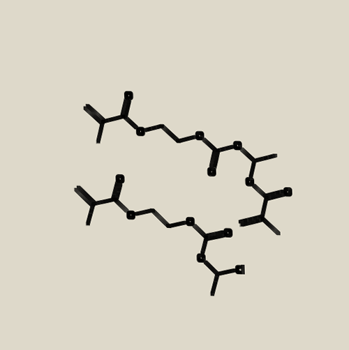 C=C(C)C(=O)OCCOC(=O)OC(C)Cl.C=C(C)C(=O)OCCOC(=O)OC(C)OC(=O)C(=C)C